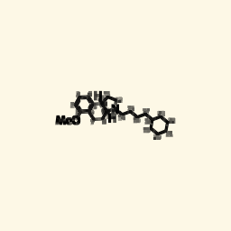 COc1cccc2c1CC[C@@H]1[C@H]2CCN1CCCCC1CCCCC1